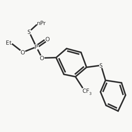 CCCSP(=O)(OCC)Oc1ccc(Sc2ccccc2)c(C(F)(F)F)c1